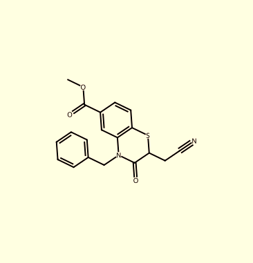 COC(=O)c1ccc2c(c1)N(Cc1ccccc1)C(=O)C(CC#N)S2